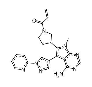 C=CC(=O)N1CCC(c2c(-c3cnn(-c4ccccn4)c3)c3c(N)ncnc3n2C)C1